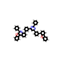 c1ccc(-c2nc(-c3cccc(-c4cccc5c4nc(-c4ccccc4)c4oc6ccccc6c45)c3)cc(-c3cccc(-c4cccc5c4oc4ccccc45)c3)n2)cc1